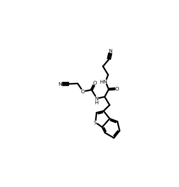 N#CCCNC(=O)C(Cc1csc2ccccc12)NC(=O)OCC#N